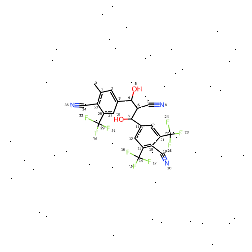 Cc1cc(C(O)C(C#N)C(O)c2cc(C(F)(F)F)c(C#N)c(C(F)(F)F)c2)cc(C(F)(F)F)c1C#N